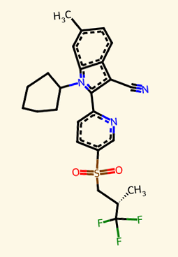 Cc1ccc2c(C#N)c(-c3ccc(S(=O)(=O)C[C@H](C)C(F)(F)F)cn3)n(C3CCCCC3)c2c1